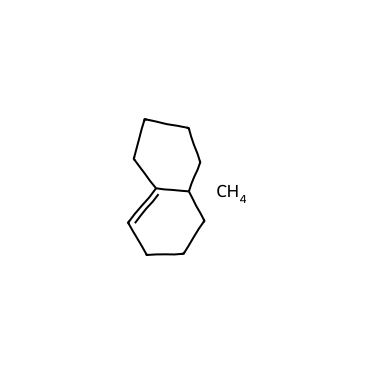 C.C1=C2CCCCC2CCC1